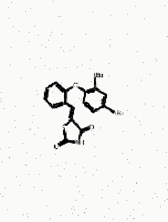 CC(C)(C)c1ccc(Oc2ccccc2/C=C2\SC(=O)NC2=O)c(C(C)(C)C)c1